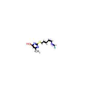 Cc1cc(O)nc(SC/C=C/C=C\N=C\F)n1